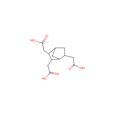 O=C(O)CC1CC2CC1C(CC(=O)O)C2CC(=O)O